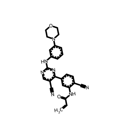 C=CC(=O)Nc1cc(-c2nc(Nc3cccc(N4CCOCC4)c3)ncc2C#N)ccc1C#N